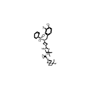 CC1(C)N=C(C2C=C(N(Cc3ccc(Cl)c(F)c3)S(=O)(=O)c3ccccc3)C2)N[C@H]1C(=O)N1CC2(CCC2(F)F)C1